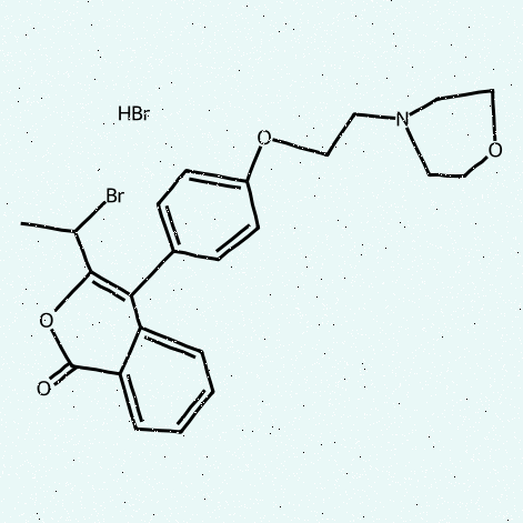 Br.CC(Br)c1oc(=O)c2ccccc2c1-c1ccc(OCCN2CCOCC2)cc1